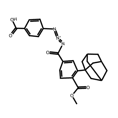 COC(=O)c1ccc(C(=O)N=[N+]=Nc2ccc(C(=O)O)cc2)cc1C12CC3CC(CC(C3)C1)C2